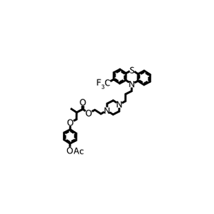 CC(=O)Oc1ccc(OCC(C)C(=O)OCCN2CCN(CCCN3c4ccccc4Sc4ccc(C(F)(F)F)cc43)CC2)cc1